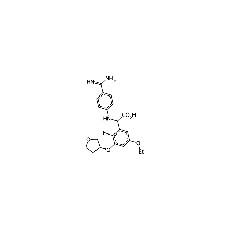 CCOc1cc(O[C@H]2CCOC2)c(F)c(C(Nc2ccc(C(=N)N)cc2)C(=O)O)c1